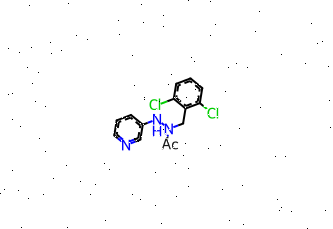 CC(=O)N(Cc1c(Cl)cccc1Cl)Nc1cccnc1